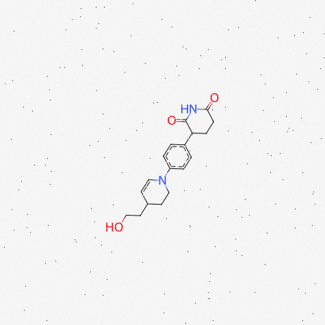 O=C1CCC(c2ccc(N3C=CC(CCO)CC3)cc2)C(=O)N1